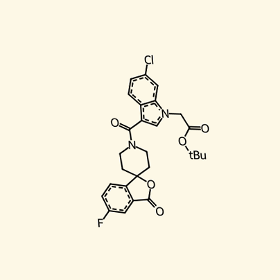 CC(C)(C)OC(=O)Cn1cc(C(=O)N2CCC3(CC2)OC(=O)c2cc(F)ccc23)c2ccc(Cl)cc21